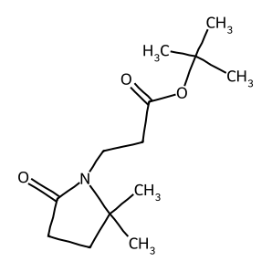 CC(C)(C)OC(=O)CCN1C(=O)CCC1(C)C